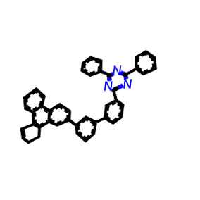 C1=Cc2c(c3cc(-c4cccc(-c5cccc(-c6nc(-c7ccccc7)nc(-c7ccccc7)n6)c5)c4)ccc3c3ccccc23)CC1